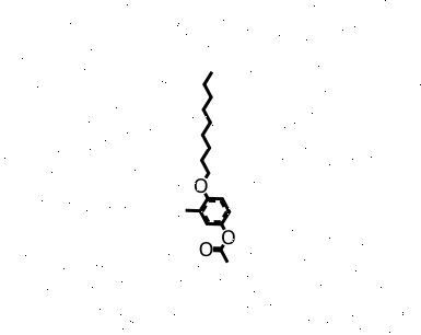 CCCCCCCCCOc1ccc(OC(C)=O)cc1C